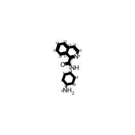 N[C@H]1CC[C@H](NC(=O)c2nccc3ccccc23)CC1